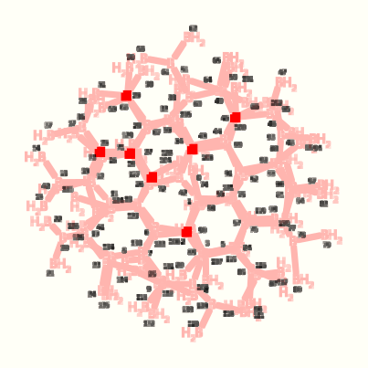 BBB(B(B)B)B(B(B)B)B(B(B(B(B)B)B(B)B)B(B(B)B)B(B)B)B(B(B(B(B)B)B(B)B)B(B(B)B)B(B)B)B(B(B(B(B(B)B)B(B)B)B(B(B)B)B(B)B)B(B(B(B)B)B(B)B)B(B(B)B)B(B)B)B(B(B(B(B(B)B)B(B)B)B(B(B)B)B(B)B)B(B(B(B)B)B(B)B)B(B(B)B)B(B)B)B(B(B(B(B)B)B(B)B)B(B(B)B)B(B)B)B(B(B(B)B)B(B)B)B(B(B)B)B(B)B